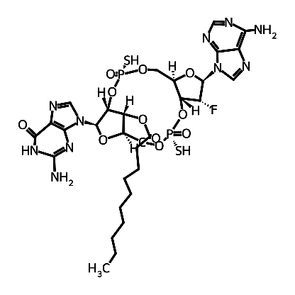 CCCCCCCCCC(=O)O[C@H]1[C@H]2O[P@](=O)(S)OC[C@H]3O[C@@H](n4cnc5c(N)ncnc54)[C@H](F)[C@@H]3O[P@](=O)(S)OC[C@H]1O[C@H]2n1cnc2c(=O)[nH]c(N)nc21